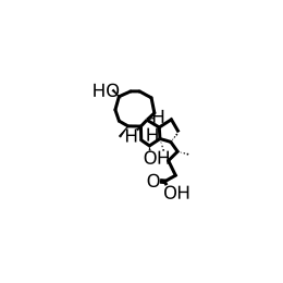 C[C@H](CCC(=O)O)[C@H]1CC[C@H]2[C@@H]3CCCC[C@H](O)CC[C@H](C)[C@H]3C[C@@H](O)[C@]12C